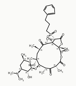 CC[C@H]1OC(=O)[C@H](C)C(=O)[C@H](C)[C@@H](O[C@@H]2O[C@H](C)C[C@H](N(C)C)[C@H]2O)[C@](C)(OC)C[C@@H](C)C(=O)[C@H](C)[C@H]2[C@H](S(=O)(=O)CCCc3ccccc3)C(=O)O[C@@]21C